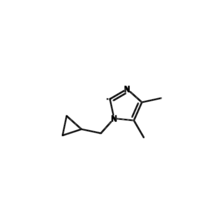 Cc1n[c]n(CC2CC2)c1C